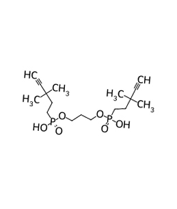 C#CC(C)(C)CCP(=O)(O)OCCCOP(=O)(O)CCC(C)(C)C#C